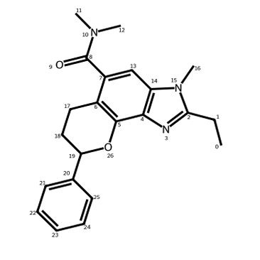 CCc1nc2c3c(c(C(=O)N(C)C)cc2n1C)CCC(c1ccccc1)O3